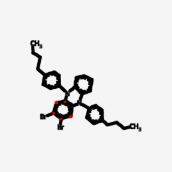 CCCCc1ccc(N(c2ccc(Br)cc2)c2ccccc2N(c2ccc(Br)cc2)c2ccc(CCCC)cc2)cc1